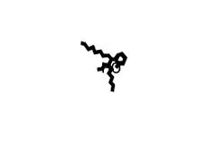 CCCCCCCCC(c1ccccc1O)C(CCC)CCCCCC